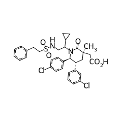 C[C@]1(CC(=O)O)C[C@H](c2cccc(Cl)c2)[C@@H](c2ccc(Cl)cc2)N(C(CNS(=O)(=O)CCc2ccccc2)C2CC2)C1=O